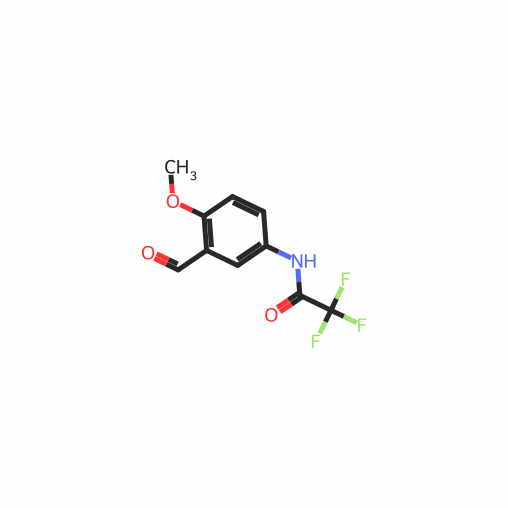 COc1ccc(NC(=O)C(F)(F)F)cc1C=O